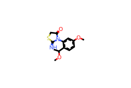 COc1ccc(C(C)OC)c(N2C(=N)SCC2=O)c1